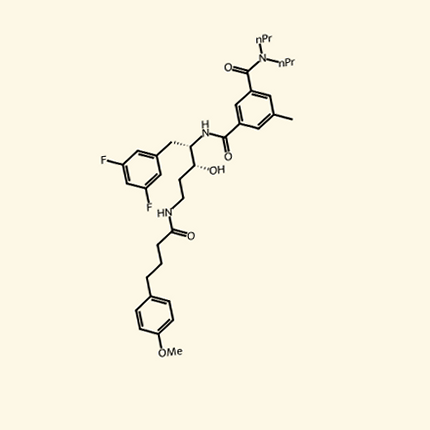 CCCN(CCC)C(=O)c1cc(C)cc(C(=O)N[C@@H](Cc2cc(F)cc(F)c2)[C@H](O)CCNC(=O)CCCc2ccc(OC)cc2)c1